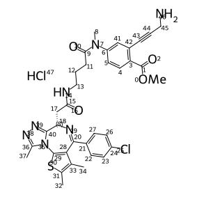 COC(=O)c1ccc(N(C)C(=O)CCCNC(=O)C[C@@H]2N=C(c3ccc(Cl)cc3)c3c(sc(C)c3C)-n3c(C)nnc32)cc1C#CCN.Cl